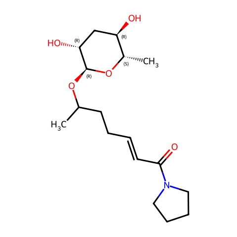 CC(CCC=CC(=O)N1CCCC1)O[C@@H]1O[C@@H](C)[C@H](O)C[C@H]1O